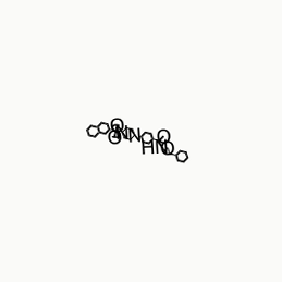 O=C(NOCc1ccccc1)c1ccc(N2CCN(S(=O)(=O)c3ccc4ccccc4c3)CC2)cc1